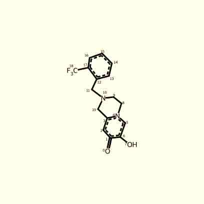 O=c1cc2n(cc1O)CCN(Cc1ccccc1C(F)(F)F)C2